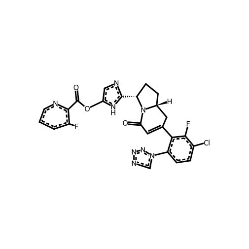 O=C(Oc1cnc([C@@H]2CC[C@@H]3CC(c4c(-n5cnnn5)ccc(Cl)c4F)=CC(=O)N32)[nH]1)c1ncccc1F